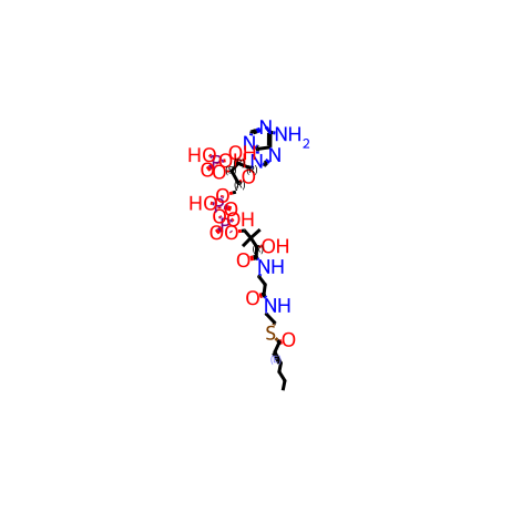 CCC/C=C/C(=O)SCCNC(=O)CCNC(=O)[C@H](O)C(C)(C)COP(=O)(O)OP(=O)(O)OC[C@H]1O[C@@H](n2cnc3c(N)ncnc32)[C@H](O)[C@@H]1OP(=O)(O)O